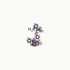 COC(=O)[C@H](Cc1ccc(OCCN(C(=O)C(C)C)c2ccccc2C)cc1)Nc1ccccc1C(=O)c1ccccc1